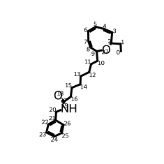 CCC1\C=C/C=C\C=C/C(CCCCCCCC(=O)NCc2ccccc2)O1